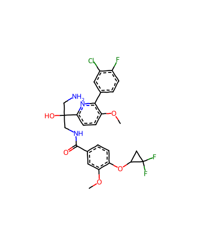 COc1cc(C(=O)NCC(O)(CN)c2ccc(OC)c(-c3ccc(F)c(Cl)c3)n2)ccc1OC1CC1(F)F